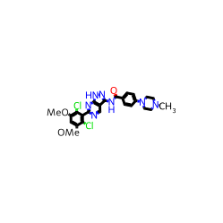 COc1cc(OC)c(Cl)c(-c2ncc3c(NC(=O)c4ccc(N5CCN(C)CC5)cc4)n[nH]c3n2)c1Cl